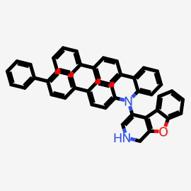 C1=C(N(c2ccc(-c3ccc(-c4ccccc4)cc3)cc2)c2ccccc2-c2ccc(-c3ccccc3)cc2)c2c(oc3ccccc23)CN1